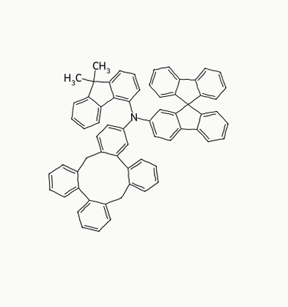 CC1(C)c2ccccc2-c2c(N(c3ccc4c(c3)-c3ccccc3Cc3ccccc3-c3ccccc3C4)c3ccc4c(c3)C3(c5ccccc5-c5ccccc53)c3ccccc3-4)cccc21